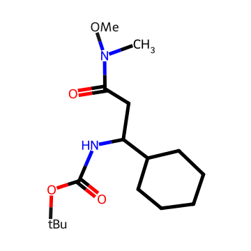 CON(C)C(=O)CC(NC(=O)OC(C)(C)C)C1CCCCC1